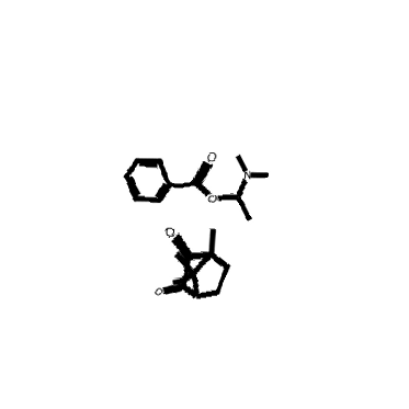 CC(OC(=O)c1ccccc1)N(C)C.CC12CCC(C(=O)C1=O)C2(C)C